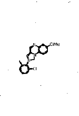 COc1ccc2c(c1)N=CC1=CN(c3c(C)cccc3Cl)CN12